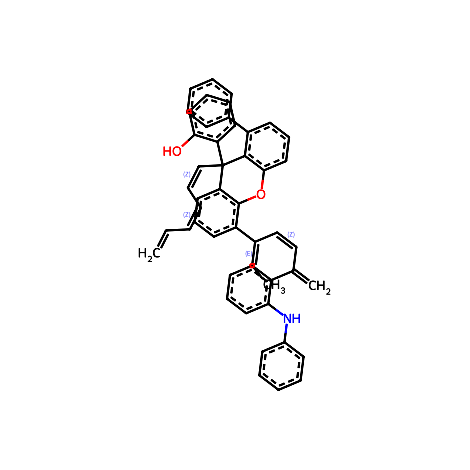 C=C/C=C\C=C/C1(c2ccccc2O)c2cccc(C(/C=C\C(=C)c3ccccc3Nc3ccccc3)=C/C)c2Oc2cccc(-c3ccccc3)c21